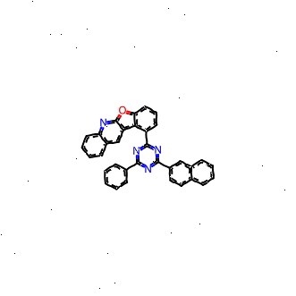 c1ccc(-c2nc(-c3ccc4ccccc4c3)nc(-c3cccc4oc5nc6ccccc6cc5c34)n2)cc1